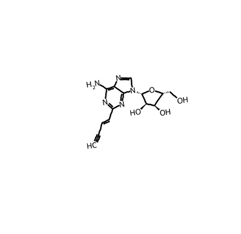 C#C/C=C/c1nc(N)c2ncn([C@@H]3O[C@H](CO)[C@@H](O)[C@H]3O)c2n1